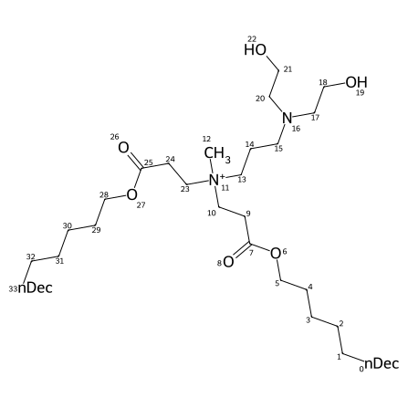 CCCCCCCCCCCCCCCOC(=O)CC[N+](C)(CCCN(CCO)CCO)CCC(=O)OCCCCCCCCCCCCCCC